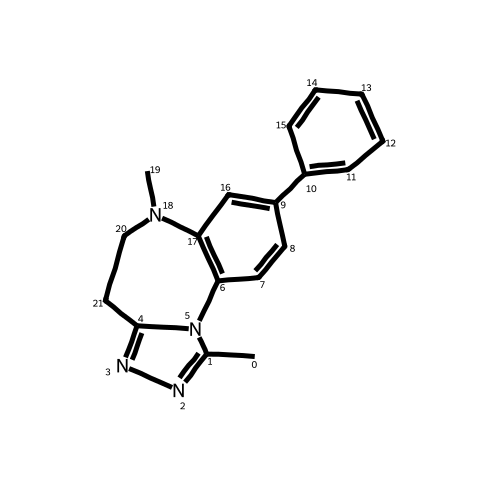 Cc1nnc2n1-c1ccc(-c3ccccc3)cc1N(C)CC2